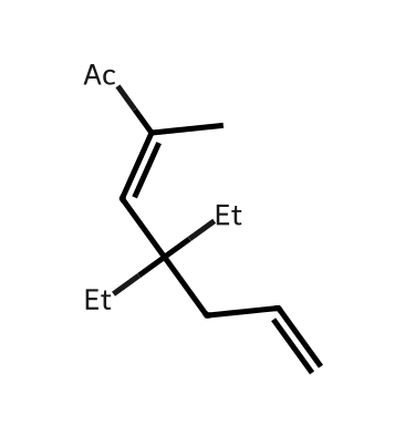 C=CCC(/C=C(\C)C(C)=O)(CC)CC